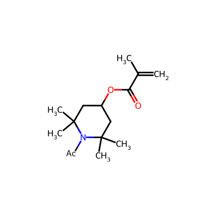 C=C(C)C(=O)OC1CC(C)(C)N(C(C)=O)C(C)(C)C1